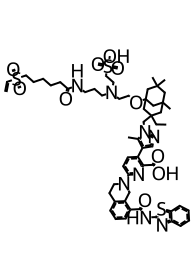 C=CS(=O)(=O)CCCCCC(=O)NCCCN(CCOC12CC(C)(C)CC(C)(CC(CC)(Cn3ncc(-c4ccc(N5CCc6cccc(C(=O)Nc7nc8ccccc8s7)c6C5)nc4C(=O)O)c3C)C1)C2)CCS(=O)(=O)O